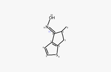 CC1Cc2sccc2/C1=N/O